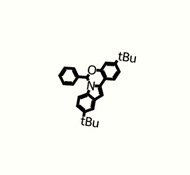 CC(C)(C)c1ccc2c(c1)OC(c1ccccc1)n1c-2cc2cc(C(C)(C)C)ccc21